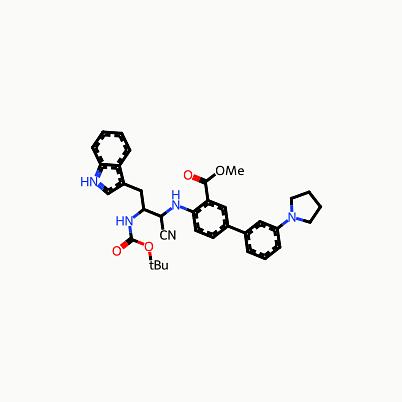 COC(=O)c1cc(-c2cccc(N3CCCC3)c2)ccc1NC(C#N)C(Cc1c[nH]c2ccccc12)NC(=O)OC(C)(C)C